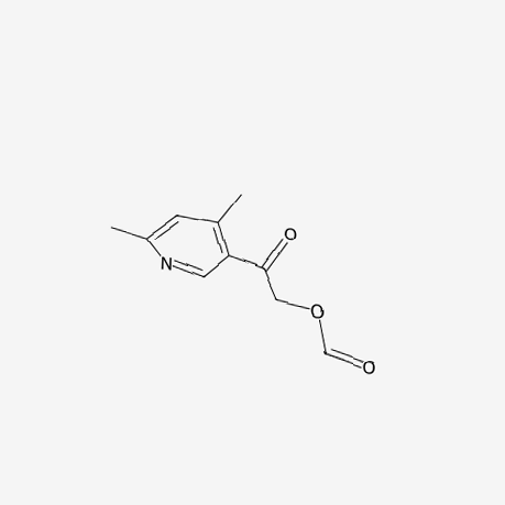 Cc1cc(C)c(C(=O)COC=O)cn1